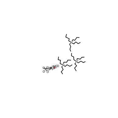 CCCC[N+](CCCC)(CCCC)CCCC.CCCC[N+](CCCC)(CCCC)CCCC.CCCC[N+](CCCC)(CCCC)CCCC.O.O.O.O.O.O.O=P([O-])([O-])[O-]